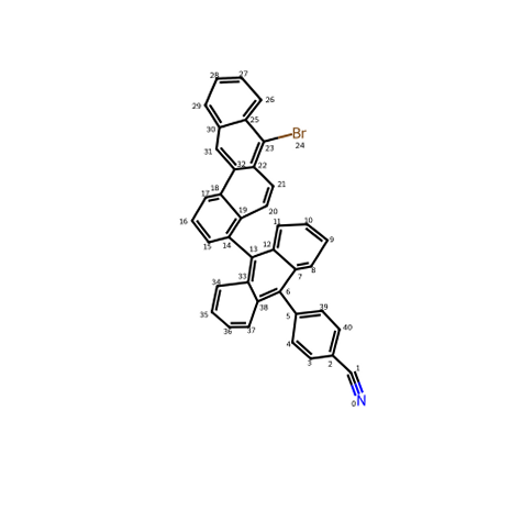 N#Cc1ccc(-c2c3ccccc3c(-c3cccc4c3ccc3c(Br)c5ccccc5cc34)c3ccccc23)cc1